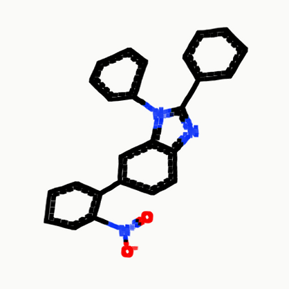 O=[N+]([O-])c1ccccc1-c1ccc2nc(-c3ccccc3)n(-c3ccccc3)c2c1